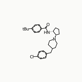 CC(C)(C)c1ccc(C(=O)N[C@@H]2CCC[C@H]2N2CCC(Cc3ccc(Cl)cc3)CC2)cc1